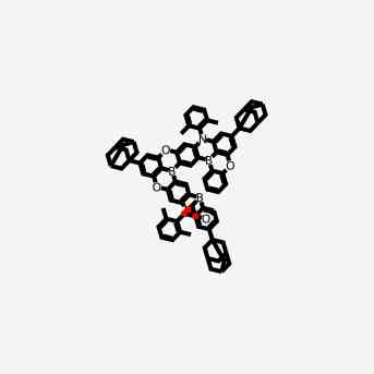 Cc1cccc(C)c1N1c2cc3c(cc2B2c4ccccc4Oc4cc(C56CC7CC(CC(C7)C5)C6)cc1c42)B1c2cc4c(cc2Oc2cc(C56CC7CC(CC(C7)C5)C6)cc(c21)O3)N(c1c(C)cccc1C)c1cc(C23CC5CC(CC(C5)C2)C3)cc2c1B4c1ccccc1O2